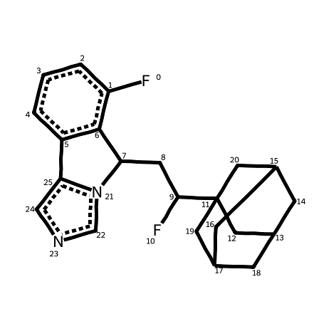 Fc1cccc2c1C(CC(F)C13CC4CC(CC(C4)C1)C3)n1cncc1-2